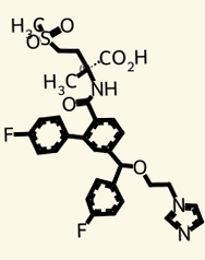 C[C@@](CCS(C)(=O)=O)(NC(=O)c1ccc(C(OCCn2ccnc2)c2ccc(F)cc2)cc1-c1ccc(F)cc1)C(=O)O